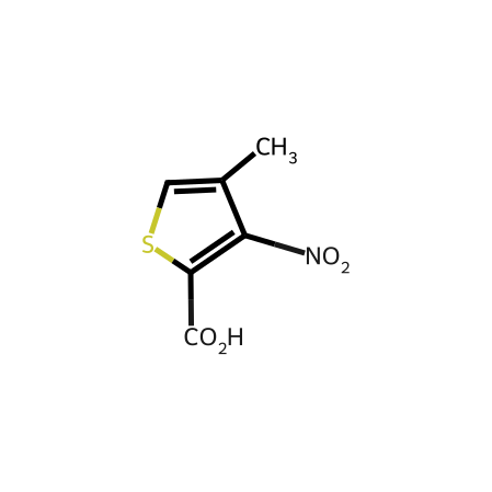 Cc1csc(C(=O)O)c1[N+](=O)[O-]